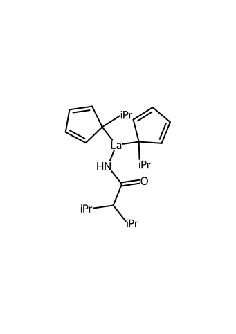 CC(C)C(C(=O)[NH][La]([C]1(C(C)C)C=CC=C1)[C]1(C(C)C)C=CC=C1)C(C)C